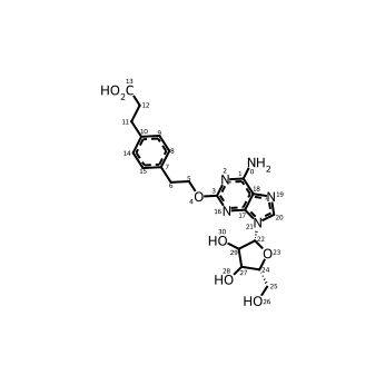 Nc1nc(OCCc2ccc(CCC(=O)O)cc2)nc2c1ncn2[C@@H]1O[C@H](CO)C(O)C1O